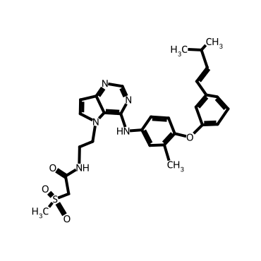 Cc1cc(Nc2ncnc3ccn(CCNC(=O)CS(C)(=O)=O)c23)ccc1Oc1cccc(C=CC(C)C)c1